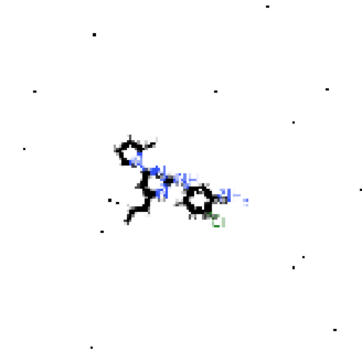 CCCc1cc(N2CCC[C@H]2C)nc(Nc2ccc(Cl)c(N)c2)n1